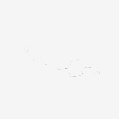 CCCCCCCCCC(C)c1ccc(COCCO[Si](C)(C)CCCC)cc1